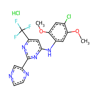 COc1cc(Nc2cc(C(F)(F)F)nc(-c3cnccn3)n2)c(OC)cc1Cl.Cl